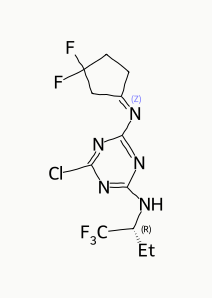 CC[C@@H](Nc1nc(Cl)nc(/N=C2/CCC(F)(F)C2)n1)C(F)(F)F